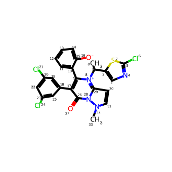 CC(c1cnc(Cl)s1)[n+]1c(-c2ccccc2[O-])c(-c2cc(Cl)cc(Cl)c2)c(=O)n2c1ccn2C